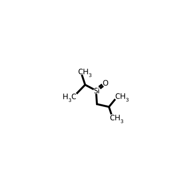 CC(C)C[Si](=O)C(C)C